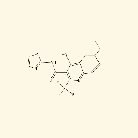 CC(C)c1ccc2nc(C(F)(F)F)c(C(=O)Nc3nccs3)c(O)c2c1